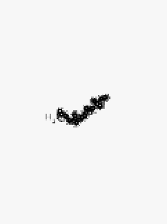 CC1(C)c2ccccc2-c2ccc(-c3cccc(-c4c5ccccc5c(-c5ccc6ccc(-c7cccc8c7oc7ccc(-c9c%10ccccc%10c(-c%10ccc%11ccccc%11c%10)c%10ccccc9%10)cc78)cc6c5)c5ccccc45)c3)cc21